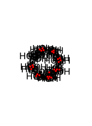 OC[C@H]1OC2O[C@H]3[C@H](O)[C@@H](O)C(O[C@H]4[C@H](O)[C@@H](O)C(O[C@H]5[C@H](O)[C@@H](O)C(O[C@H]6[C@H](O)[C@@H](O)C(O[C@H]7[C@H](O)[C@@H](O)C(O[C@H]8[C@H](O)[C@@H](O)C(O[C@H]9[C@H](O)C(O)C(O[C@H]1[C@H](O)[C@H]2O)O[C@@H]9CO)O[C@@H]8CO)O[C@@H]7CO)O[C@@H]6CO)O[C@@H]5CO)O[C@@H]4CO)O[C@@H]3CO